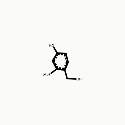 CSc1cc(O)ccc1CO